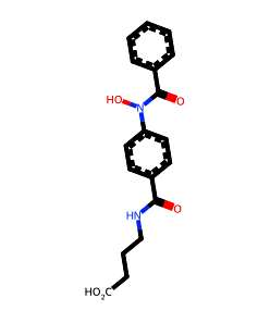 O=C(O)CCCNC(=O)c1ccc(N(O)C(=O)c2ccccc2)cc1